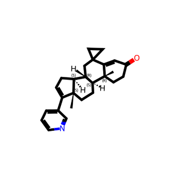 C[C@]12CCC(=O)C=C1C1(CC1)C[C@@H]1[C@@H]2CC[C@]2(C)C(c3cccnc3)=CC[C@@H]12